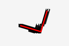 Cl.Cl.Cl.Cl.Cl.Cl.Cl.Cl.Cl.Cl.Cl.Cl.Cl.Cl.Cl.Cl.Cl.Cl.Cl.Cl.Cl.Cl.Cl.Cl.Cl.Cl.Cl.Cl.Cl.Cl.[K+].[K+].[K+].[K+].[K+].[K+].[K+].[K+].[K+].[K+].[K+].[K+].[K+].[K+].[K+].[K+].[K+].[K+].[K+].[K+].[K+].[K+].[K+].[K+].[K+].[K+].[K+].[K+].[K+].[K+].[K+].[K+].[K+].[K+].[K+].[K+].[K+].[K+].[K+].[K+].[K+].[K+].[K+].[K+].[K+].[K+].[K+].[K+].[K+].[K+].[K+].[K+].[K+].[K+].[K+].[K+].[K+].[K+].[K+].[K+].[K+].[K+].[K+].[K+].[K+].[K+].[K+].[K+].[K+].[K+]